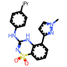 CC(C)c1ccc(NC2=NS(=O)(=O)c3cccc(-c4ccn(C)n4)c3N2)cc1